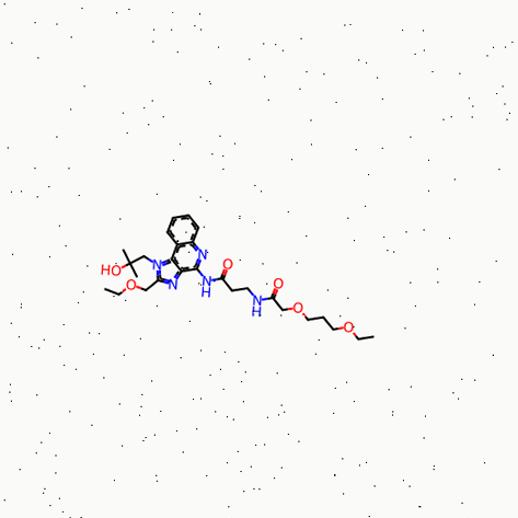 CCOCCCOCC(=O)NCCC(=O)Nc1nc2ccccc2c2c1nc(COCC)n2CC(C)(C)O